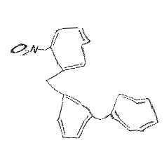 O=[N+]([O-])c1ccccc1Cc1cccc(-c2ccccc2)c1